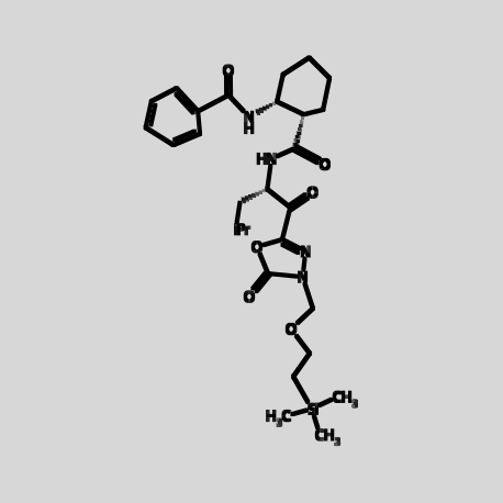 CC(C)C[C@H](NC(=O)[C@H]1CCCC[C@H]1NC(=O)c1ccccc1)C(=O)c1nn(COCC[Si](C)(C)C)c(=O)o1